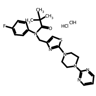 CC(C)(C)C(=O)N(Cc1csc(N2CCN(c3ncccn3)CC2)n1)c1ccc(F)cc1.Cl.Cl